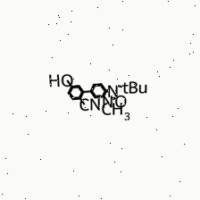 Cn1c(=O)n(CC(C)(C)C)c2ccc(-c3cc(O)ccc3C#N)cc21